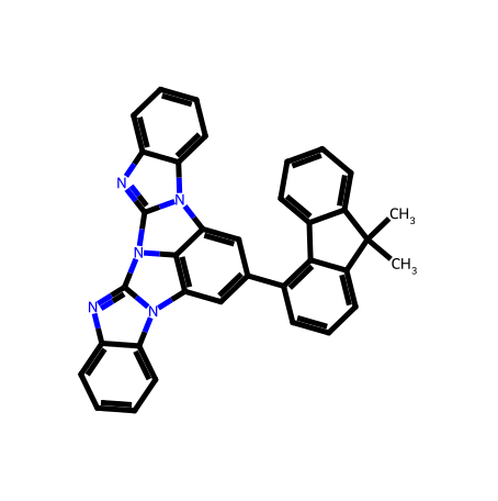 CC1(C)c2ccccc2-c2c(-c3cc4c5c(c3)n3c6ccccc6nc3n5c3nc5ccccc5n43)cccc21